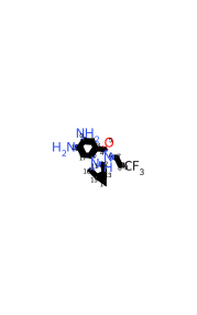 Nc1cc(C(=O)NCCC(F)(F)F)c(N2CC3CC3C2)cc1N